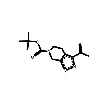 C=C(C)c1n[nH]c2c1CCN(C(=O)OC(C)(C)C)C2